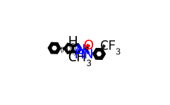 C[C@@]12C[C@H](c3ccccc3)C[C@@H]1CN(C(=O)Nc1cccc(C(F)(F)F)c1)C2